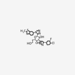 Cc1nc2ccc(-n3cnnc3[C@@H]3O[C@H](CCO)[C@H](O)[C@H](n4cc(-c5ccc(Cl)c(F)c5)nn4)[C@H]3O)cc2s1